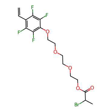 C=Cc1c(F)c(F)c(OCCOCCOCCOC(=O)C(C)Br)c(F)c1F